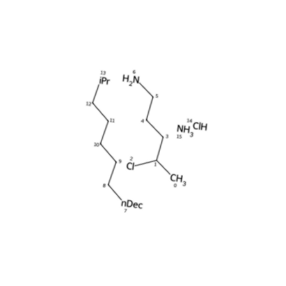 CC(Cl)CCCN.CCCCCCCCCCCCCCCC(C)C.Cl.N